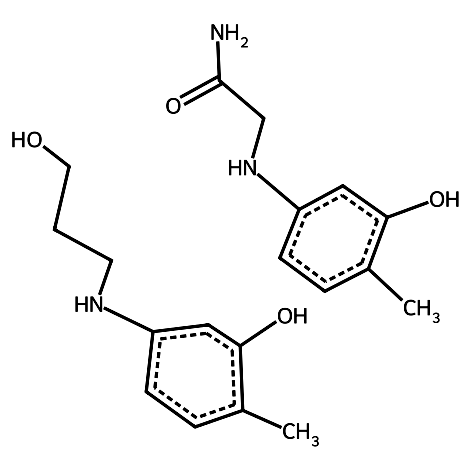 Cc1ccc(NCC(N)=O)cc1O.Cc1ccc(NCCCO)cc1O